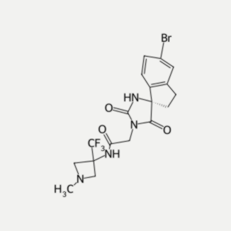 CN1CC(NC(=O)CN2C(=O)N[C@]3(CCc4cc(Br)ccc43)C2=O)(C(F)(F)F)C1